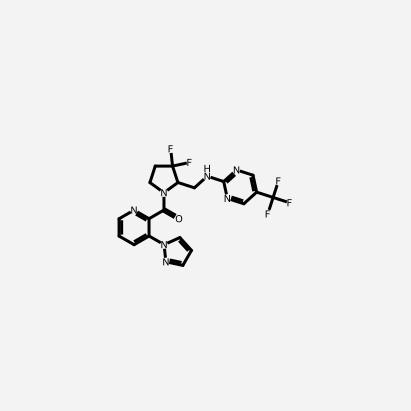 O=C(c1ncccc1-n1cccn1)N1CCC(F)(F)C1CNc1ncc(C(F)(F)F)cn1